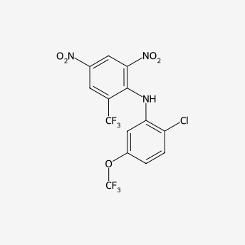 O=[N+]([O-])c1cc([N+](=O)[O-])c(Nc2cc(OC(F)(F)F)ccc2Cl)c(C(F)(F)F)c1